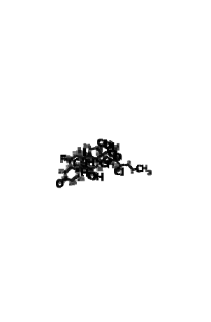 CCCC(Cl)C(=O)O[C@]1(C(=O)O)[C@@H](C)C[C@H]2[C@@H]3C[C@H](F)C4=CC(=O)C=C[C@]4(C)[C@H]3[C@@H](O)C[C@@]21C